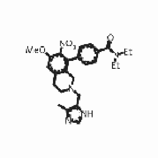 CCN(CC)C(=O)c1ccc(-c2c3c(cc(OC)c2[N+](=O)[O-])CCN(Cc2[nH]cnc2C)C3)cc1